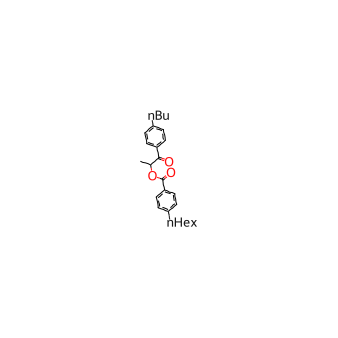 CCCCCCc1ccc(C(=O)OC(C)C(=O)c2ccc(CCCC)cc2)cc1